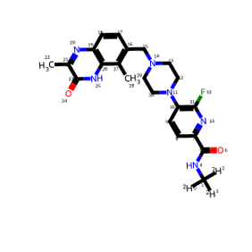 [2H]C([2H])([2H])NC(=O)c1ccc(N2CCN(Cc3ccc4nc(C)c(=O)[nH]c4c3C)CC2)c(F)n1